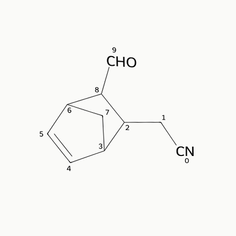 N#CCC1C2C=CC(C2)C1C=O